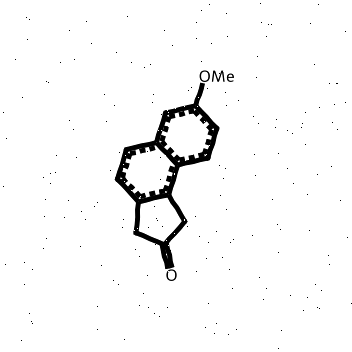 COc1ccc2c3c(ccc2c1)CC(=O)C3